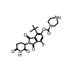 CC(C)(C)c1c(OC(=O)N2CCNCC2)cc(F)c2c1C(=O)N(C1CCC(=O)NC1=O)C2=O